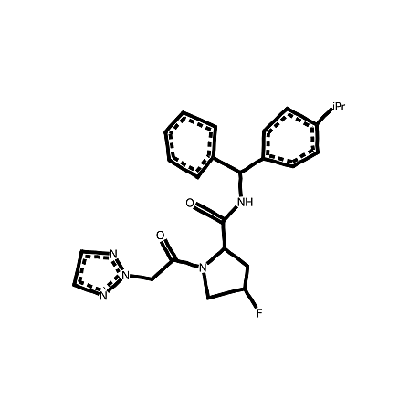 CC(C)c1ccc(C(NC(=O)C2CC(F)CN2C(=O)Cn2nccn2)c2ccccc2)cc1